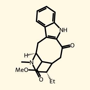 CC[C@@H]1CN(C)[C@H]2Cc3c([nH]c4ccccc34)C(=O)CC1C2C(=O)OC